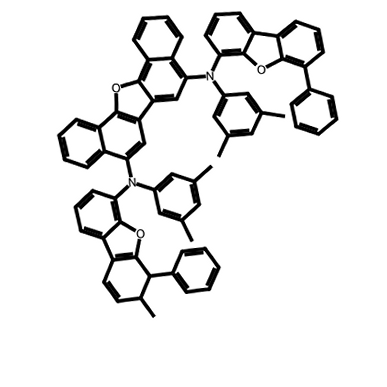 Cc1cc(C)cc(N(c2cc3c4cc(N(c5cc(C)cc(C)c5)c5cccc6c5oc5c(-c7ccccc7)cccc56)c5ccccc5c4oc3c3ccccc23)c2cccc3c4c(oc23)C(c2ccccc2)C(C)C=C4)c1